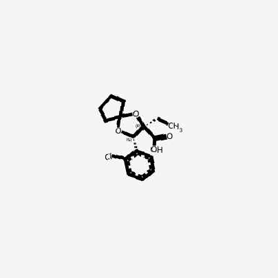 CC[C@@]1(C(=O)O)OC2(CCCC2)O[C@H]1c1ccccc1Cl